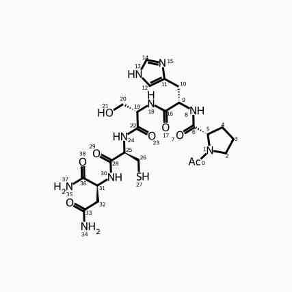 CC(=O)N1CCC[C@H]1C(=O)N[C@@H](Cc1c[nH]cn1)C(=O)N[C@@H](CO)C(=O)N[C@@H](CS)C(=O)N[C@@H](CC(N)=O)C(N)=O